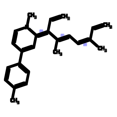 C=C\C(C)=C/C=C(C)/C(C=C)=C1\C=C(c2ccc(C)cc2)C=CN1C